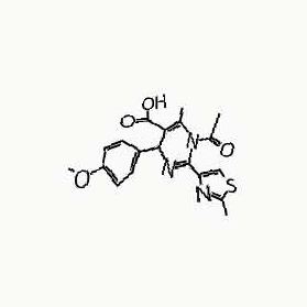 COc1ccc(C2N=C(c3csc(C)n3)N(C(C)=O)C(C)=C2C(=O)O)cc1